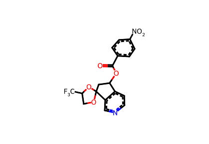 O=C(OC1CC2(OCC(C(F)(F)F)O2)c2cnccc21)c1ccc([N+](=O)[O-])cc1